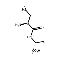 C[C@@H](NC(=O)[C@@H](N)CS)C(=O)O